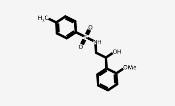 COc1ccccc1C(O)CNS(=O)(=O)c1ccc(C)cc1